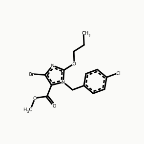 CCCOc1nc(Br)c(C(=O)OC)n1Cc1ccc(Cl)cc1